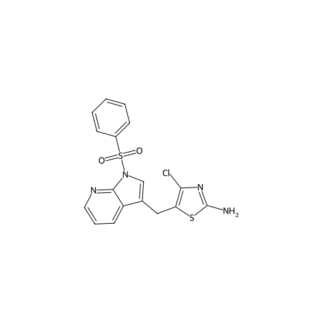 Nc1nc(Cl)c(Cc2cn(S(=O)(=O)c3ccccc3)c3ncccc23)s1